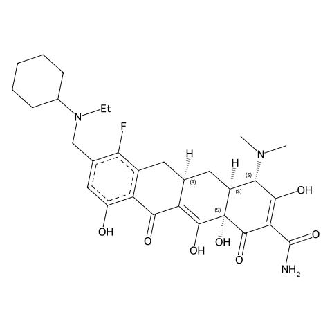 CCN(Cc1cc(O)c2c(c1F)C[C@H]1C[C@H]3[C@H](N(C)C)C(O)=C(C(N)=O)C(=O)[C@@]3(O)C(O)=C1C2=O)C1CCCCC1